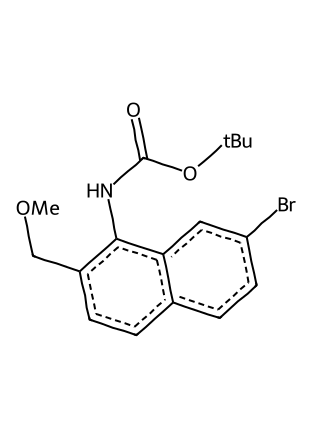 COCc1ccc2ccc(Br)cc2c1NC(=O)OC(C)(C)C